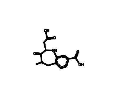 CN1Cc2ccc(C(=O)O)cc2N[C@H](CC(=O)O)C1=O